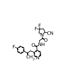 C=C(Cc1cnccc1C(=O)NCC(=O)N1CC(F)(F)CC1C#N)c1ccc(F)cc1